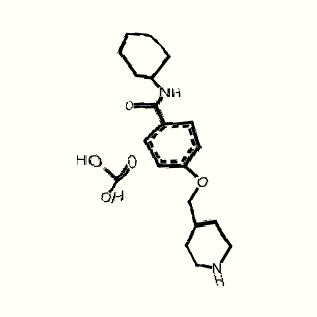 O=C(NC1CCCCC1)c1ccc(OCC2CCNCC2)cc1.O=C(O)O